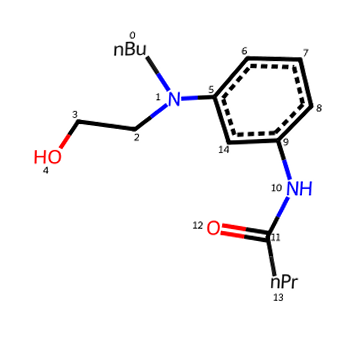 CCCCN(CCO)c1cccc(NC(=O)CCC)c1